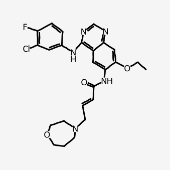 CCOc1cc2ncnc(Nc3ccc(F)c(Cl)c3)c2cc1NC(=O)/C=C/CN1CCCOCC1